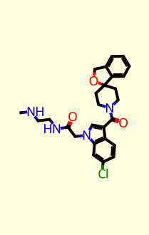 CNCCNC(=O)Cn1cc(C(=O)N2CCC3(CC2)OCc2ccccc23)c2ccc(Cl)cc21